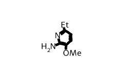 CCc1ccc(OC)c(N)n1